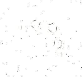 Nc1ccc(Oc2ccc(Oc3ccc(N)nn3)cc2)nn1